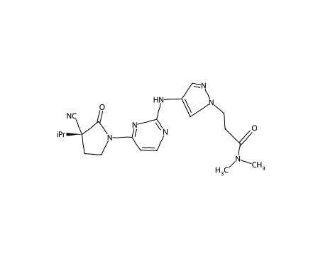 CC(C)[C@]1(C#N)CCN(c2ccnc(Nc3cnn(CCC(=O)N(C)C)c3)n2)C1=O